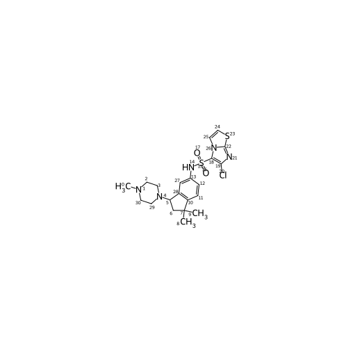 CN1CCN(C2CC(C)(C)c3ccc(NS(=O)(=O)c4c(Cl)nc5sccn45)cc32)CC1